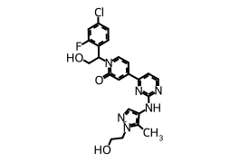 Cc1c(Nc2nccc(-c3ccn(C(CO)c4ccc(Cl)cc4F)c(=O)c3)n2)cnn1CCO